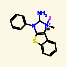 C[N@@+]1(I)c2c(sc3ccccc23)N(c2ccccc2)C1N